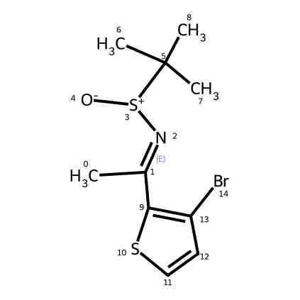 C/C(=N\[S+]([O-])C(C)(C)C)c1sccc1Br